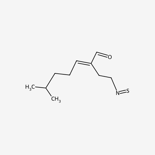 CC(C)CC/C=C(/C=O)CCN=S